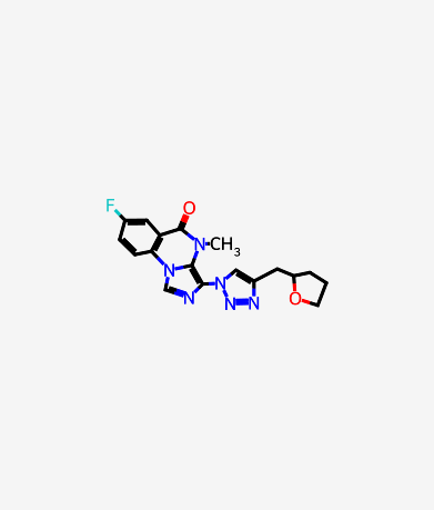 Cn1c(=O)c2cc(F)ccc2n2cnc(-n3cc(CC4CCCO4)nn3)c12